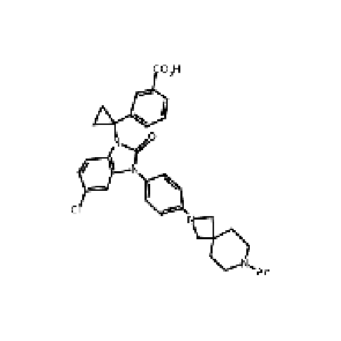 CC(=O)N1CCC2(CC1)CN(c1ccc(-n3c(=O)n(C4(c5cccc(C(=O)O)c5)CC4)c4ccc(Cl)cc43)cc1)C2